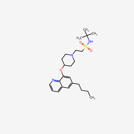 CCCCc1cc(OC2CCN(CCS(=O)(=O)NC(C)(C)C)CC2)c2ncccc2c1